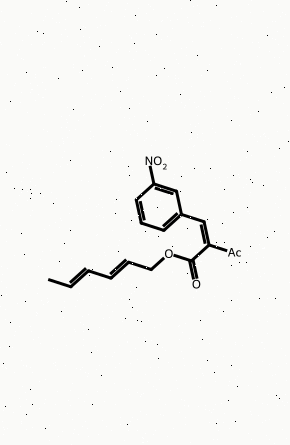 CC=CC=CCOC(=O)C(=Cc1cccc([N+](=O)[O-])c1)C(C)=O